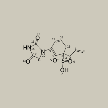 C=CCC1(S(=O)(=O)O)C=C(N2CC(=O)NC2=O)C=CC1